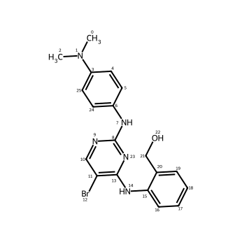 CN(C)c1ccc(Nc2ncc(Br)c(Nc3ccccc3CO)n2)cc1